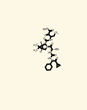 CNC(=O)C(=O)C(CC(F)(F)F)NC(=O)[C@@H]1[C@@H]2[C@H](CN1C(=O)[C@@H](NC(=O)N[C@H](C(=O)C1CC1)C1CCCCC1)C(C)(C)C)C2(C)C